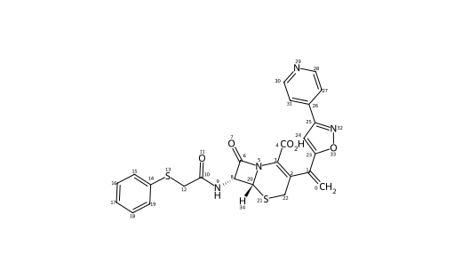 C=C(C1=C(C(=O)O)N2C(=O)[C@@H](NC(=O)CSc3ccccc3)[C@H]2SC1)c1cc(-c2ccncc2)no1